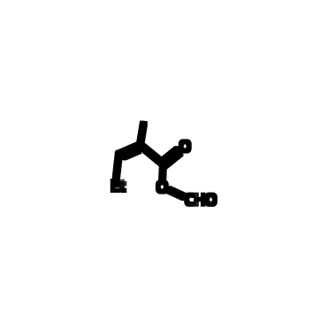 CCC=C(C)C(=O)OC=O